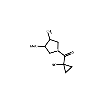 COC1CN(C(=O)C2(C#N)CC2)CC1C